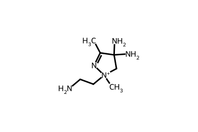 CC1=N[N+](C)(CCN)CC1(N)N